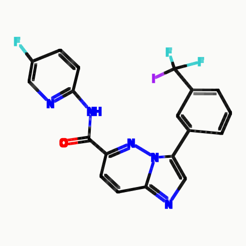 O=C(Nc1ccc(F)cn1)c1ccc2ncc(-c3cccc(C(F)(F)I)c3)n2n1